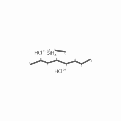 CC.CCCCCCCC.Cl.Cl.[SiH4]